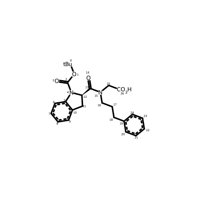 CC(C)(C)OC(=O)N1c2ccccc2C[C@@H]1C(=O)N(CCCc1ccccc1)CC(=O)O